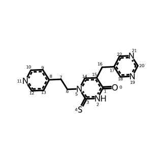 O=c1[nH]c(=S)n(CCc2ccncc2)cc1Cc1cncnc1